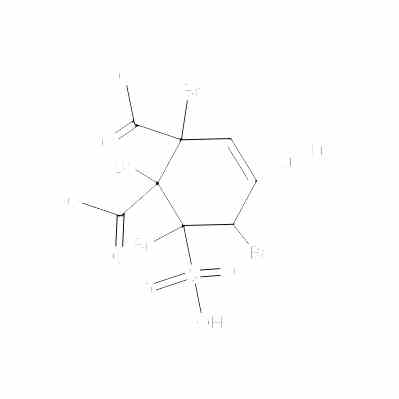 O=C([O-])C1(Br)C=CC(Br)C(Br)(S(=O)(=O)O)C1(Br)C(=O)[O-].[Li+].[Li+]